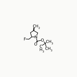 C=C1CC(CF)N(C(=O)OC(C)(C)C)C1